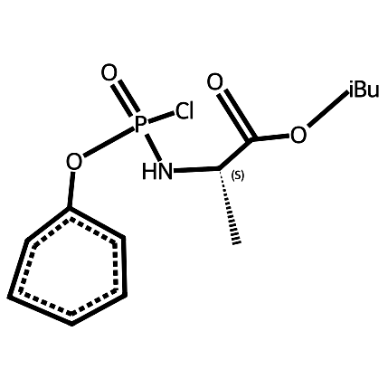 CCC(C)OC(=O)[C@H](C)NP(=O)(Cl)Oc1ccccc1